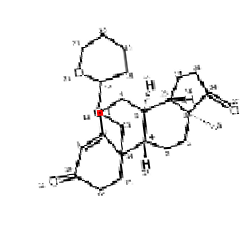 C[C@]12CC[C@H]3[C@@H](CCC4=CC(=O)CCC43COC3CCCCO3)[C@@H]1CCC2=O